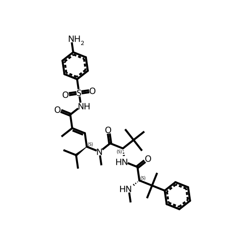 CN[C@H](C(=O)N[C@H](C(=O)N(C)[C@H](C=C(C)C(=O)NS(=O)(=O)c1ccc(N)cc1)C(C)C)C(C)(C)C)C(C)(C)c1ccccc1